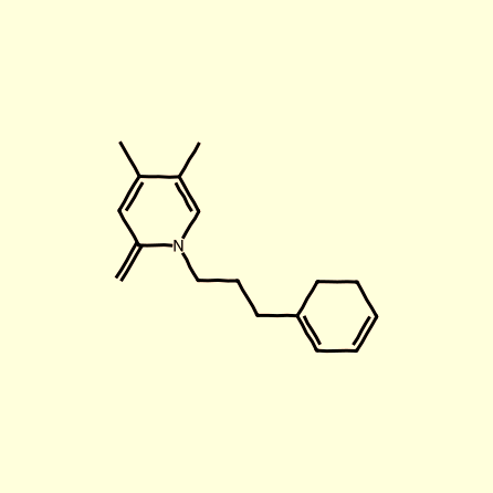 C=C1C=C(C)C(C)=CN1CCCC1=CC=CCC1